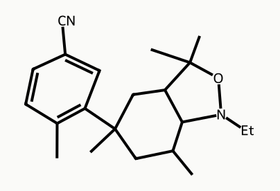 CCN1OC(C)(C)C2CC(C)(c3cc(C#N)ccc3C)CC(C)C21